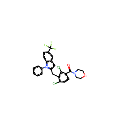 O=C(c1ccc(Cl)c(Cc2cc3cc(C(F)(F)F)ccc3n2-c2ccccc2)c1Cl)N1CCOCC1